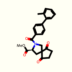 COC(=O)[C@@H]1CC2(CN1C(=O)c1ccc(-c3ccccc3C)cc1)C(=O)CCC2=O